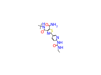 CCNC(=O)Nc1ccc(-c2nc(C(=O)NC(C)(C)C)c(C(N)=O)s2)cn1